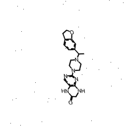 CC(c1ccc2c(c1)OCC2)N1CCN(c2ncc3c(n2)NCC(=O)N3)CC1